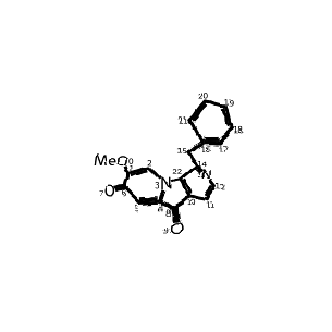 COc1cn2c(cc1=O)C(=O)c1ccnc(Cc3ccccc3)c1-2